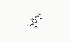 CN(C)c1ccc(OB(O)O)cc1.Cl